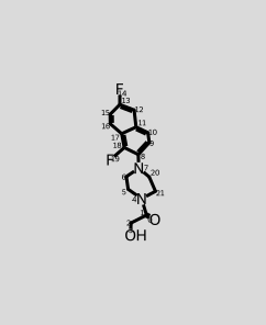 O=C(CO)N1CCN(c2ccc3cc(F)ccc3c2F)CC1